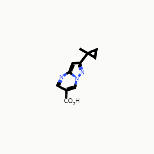 CC1(c2cc3ncc(C(=O)O)cn3n2)CC1